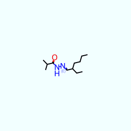 CCCCC(/C=N/NC(=O)C(C)C)CC